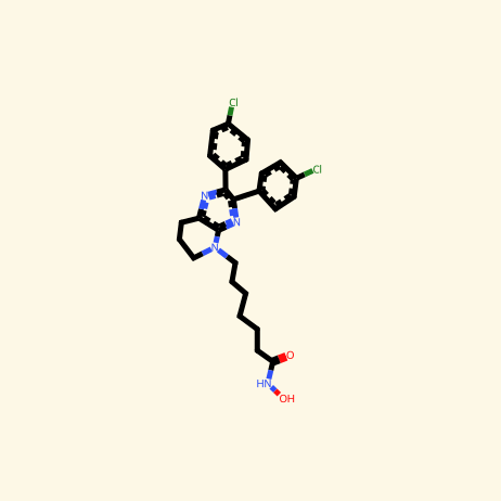 O=C(CCCCCCN1CCCc2nc(-c3ccc(Cl)cc3)c(-c3ccc(Cl)cc3)nc21)NO